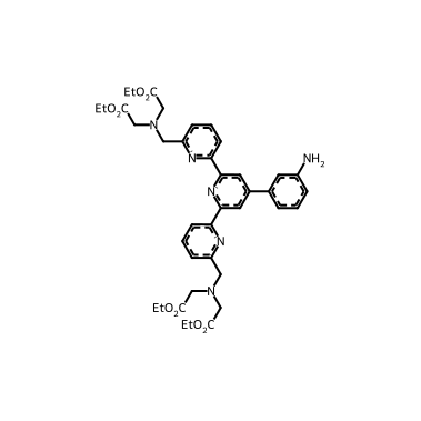 CCOC(=O)CN(CC(=O)OCC)Cc1cccc(-c2cc(-c3cccc(N)c3)cc(-c3cccc(CN(CC(=O)OCC)CC(=O)OCC)n3)n2)n1